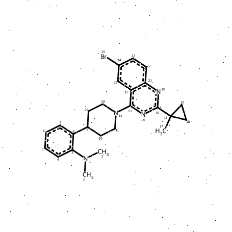 CN(C)c1ccccc1C1CCN(c2nc(C3(C)CC3)nc3ccc(Br)cc23)CC1